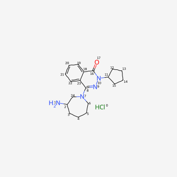 Cl.NC1CCCCN(c2nn(C3CCCC3)c(=O)c3ccccc23)C1